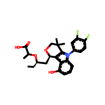 CC[C@@H](C[C@H]1OCC(C)(C)c2c1c1c(O)cccc1n2-c1ccc(F)c(F)c1)OC(C)C(=O)O